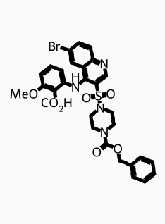 COc1cccc(Nc2c(S(=O)(=O)N3CCN(C(=O)OCc4ccccc4)CC3)cnc3ccc(Br)cc23)c1C(=O)O